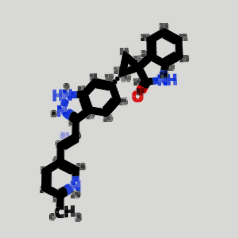 Cc1ccc(/C=C/c2n[nH]c3cc([C@@H]4CC45C(=O)Nc4ccccc45)ccc23)cn1